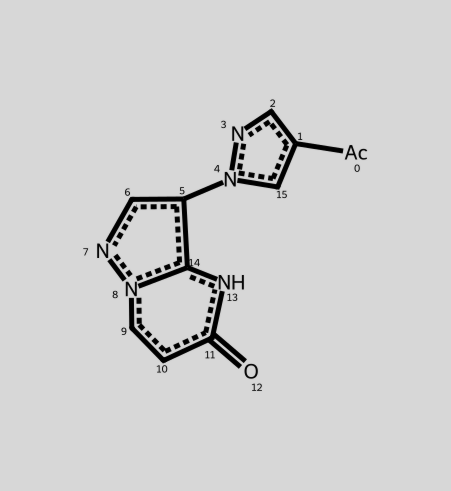 CC(=O)c1cnn(-c2cnn3ccc(=O)[nH]c23)c1